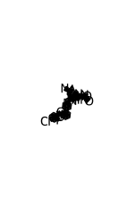 C[C@]1(c2ccc(Cl)cc2F)Oc2cccc(C3CCN(Cc4nc5cc(-c6noc(=O)[nH]6)ncc5n4CC4(C#N)CC4)CC3)c2O1